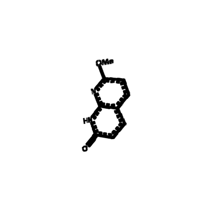 COc1ccc2ccc(=O)[nH]c2n1